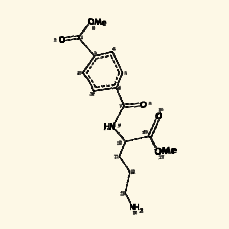 COC(=O)c1ccc(C(=O)NC(CCCN)C(=O)OC)cc1